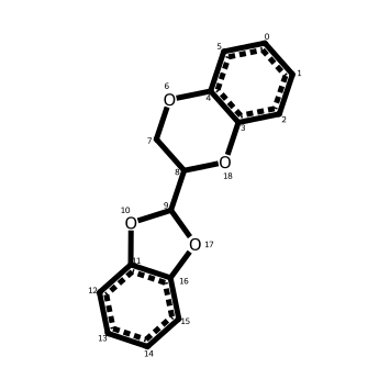 c1ccc2c(c1)OCC(C1Oc3ccccc3O1)O2